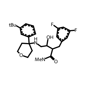 CNC(=O)C(Cc1cc(F)cc(F)c1)C(O)CNC1(c2cccc(C(C)(C)C)c2)CCOCC1